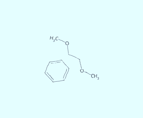 COCCOC.c1ccccc1